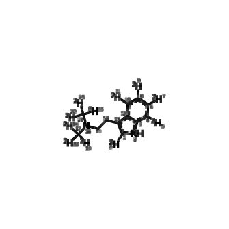 [2H]c1[nH]c2c([2H])c([2H])c([2H])c([2H])c2c1CCN(C([2H])([2H])[2H])C([2H])([2H])[2H]